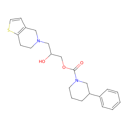 O=C(OCC(O)CN1CCc2sccc2C1)N1CCCC(c2ccccc2)C1